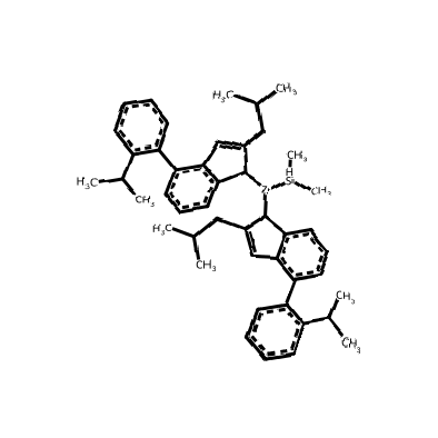 CC(C)CC1=Cc2c(-c3ccccc3C(C)C)cccc2[CH]1[Zr]([CH]1C(CC(C)C)=Cc2c(-c3ccccc3C(C)C)cccc21)[SiH](C)C